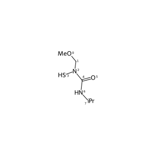 COCN(S)C(=O)NC(C)C